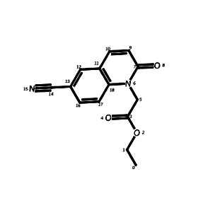 CCOC(=O)Cn1c(=O)ccc2cc(C#N)ccc21